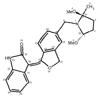 CO[C@H]1CC[C@](C)(OC)N1Cc1ccc2c(c1)COC2=C1C(=O)Nc2ccccc21